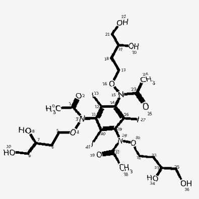 CC(=O)N(OCCC(O)CO)c1c(I)c(N(OCCC(O)CO)C(C)=O)c(I)c(N(OCCC(O)CO)C(C)=O)c1I